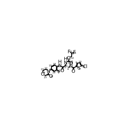 O=C(N[C@H](CNC(=O)c1ccc(Cl)s1)C(=O)Nc1ccc(N2CCOCC2=O)cc1F)OCC(F)F